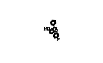 OC1CC[C@]2(c3ccc(F)cc3)OC[C@@H](c3ccccc3)N12